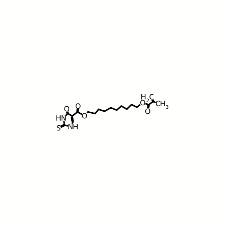 C=C(C)C(=O)OCCCCCCCCCCOC(=O)c1c[nH]c(=S)[nH]c1=O